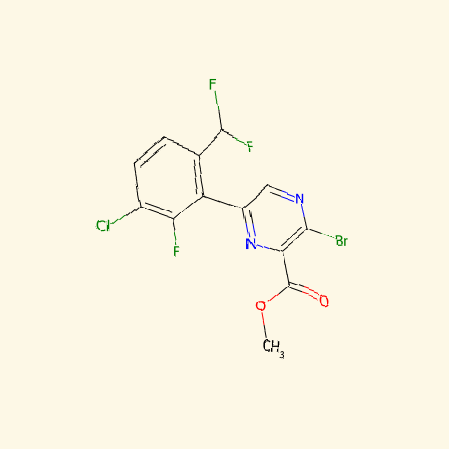 COC(=O)c1nc(-c2c(C(F)F)ccc(Cl)c2F)cnc1Br